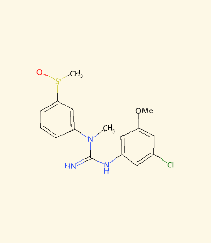 COc1cc(Cl)cc(NC(=N)N(C)c2cccc([S+](C)[O-])c2)c1